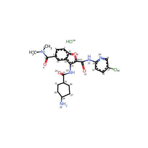 CN(C)C(=O)c1ccc2oc(C(=O)Nc3ccc(Cl)cn3)c(NC(=O)C3CCC(N)CC3)c2c1.Cl